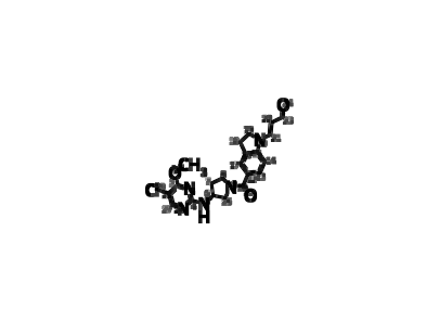 COc1nc(N[C@H]2CCN(C(=O)c3ccc4c(c3)CCN4C=CC=O)C2)ncc1Cl